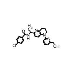 CC(NC(=O)c1ccc(Cl)cc1)c1ccc2c(n1)CCCN2c1cccc(CO)n1